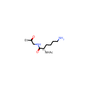 CCC(=O)CNC(=O)[C@H](CCCCN)NC(C)=O